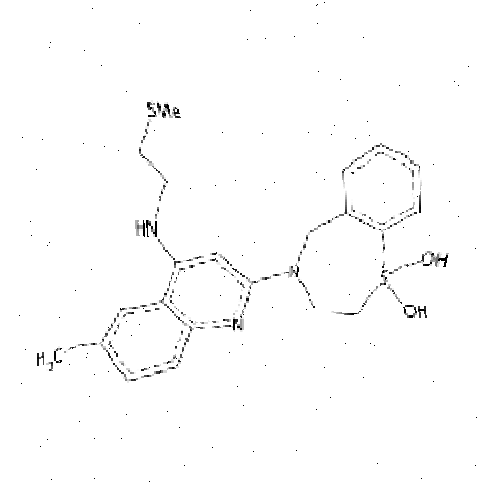 CSCCNc1cc(N2CCS(O)(O)c3ccccc3C2)nc2ccc(C)cc12